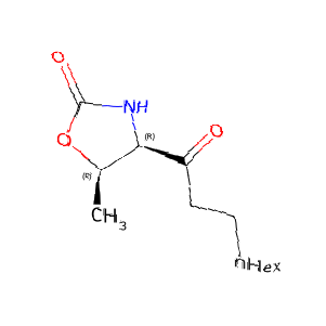 CCCCCCCCC(=O)[C@@H]1NC(=O)O[C@@H]1C